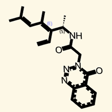 C=C/C(=C(/C)C=C(C)C)[C@H](C)NC(=O)Cn1nnc2ccccc2c1=O